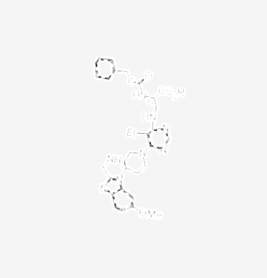 CCc1c(NC[C@H](NC(=O)OCc2ccccc2)C(=O)O)ncnc1N1CCC(n2c(CN)nc3ccc(OC)cc32)CC1